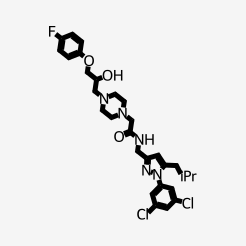 CC(C)Cc1cc(CNC(=O)CN2CCN(CC(O)COc3ccc(F)cc3)CC2)nn1-c1cc(Cl)cc(Cl)c1